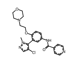 Cn1ncc(Cl)c1-c1cc(NC(=O)c2ccncc2)ccc1OCCN1CCOCC1